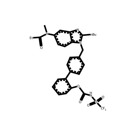 CCCCc1nc2cc(N(C)C(=O)CC)ccc2n1Cc1ccc(-c2ccccc2OC(=O)NS(=O)(=O)C(F)(F)F)cc1